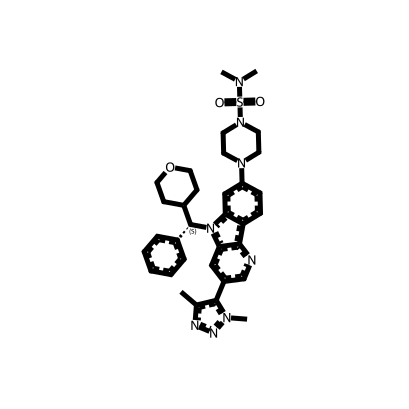 Cc1nnn(C)c1-c1cnc2c3ccc(N4CCN(S(=O)(=O)N(C)C)CC4)cc3n([C@H](c3ccccc3)C3CCOCC3)c2c1